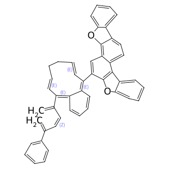 C=C(/C=C\C(=C)c1ccccc1)C1=c2\cccc\c2=C(c2cc3c(ccc4c5ccccc5oc43)c3c2oc2ccccc23)\C=C\CC\C=C\1